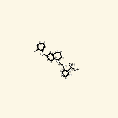 Cc1ccccc1Sc1ccc2c(c1)CCC[C@H]2CNc1cnccc1C(O)O